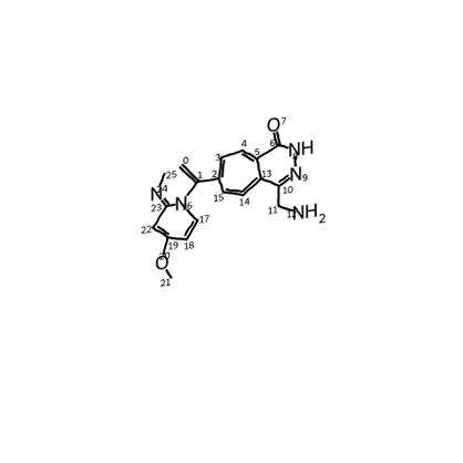 C=C(C1=CC=c2c(=O)[nH]nc(CN)c2=C=C1)n1ccc(OC)c/c1=N/C